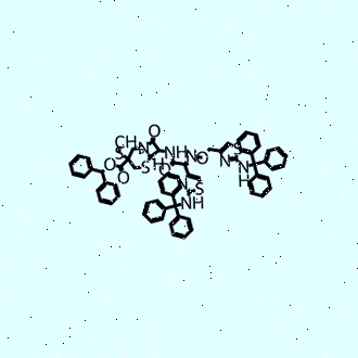 CSC1(C(=O)OC(c2ccccc2)c2ccccc2)CS[C@@H]2C(NC(=O)C(=NOCc3csc(NC(c4ccccc4)(c4ccccc4)c4ccccc4)n3)c3csc(NC(c4ccccc4)(c4ccccc4)c4ccccc4)n3)C(=O)N2C1